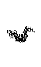 CN(C)[C@@H]1CCN(C(=O)Nc2cc(Oc3ccc(NC(=O)NC(=O)C(C)(C)C)nc3)ccn2)C1